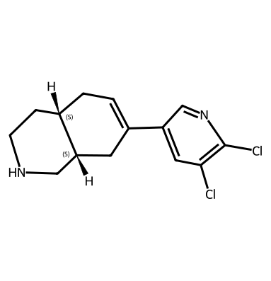 Clc1cc(C2=CC[C@H]3CCNC[C@H]3C2)cnc1Cl